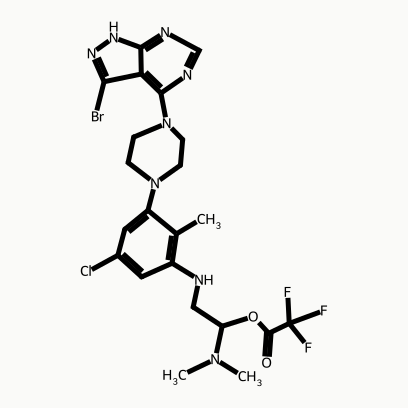 Cc1c(NCC(OC(=O)C(F)(F)F)N(C)C)cc(Cl)cc1N1CCN(c2ncnc3[nH]nc(Br)c23)CC1